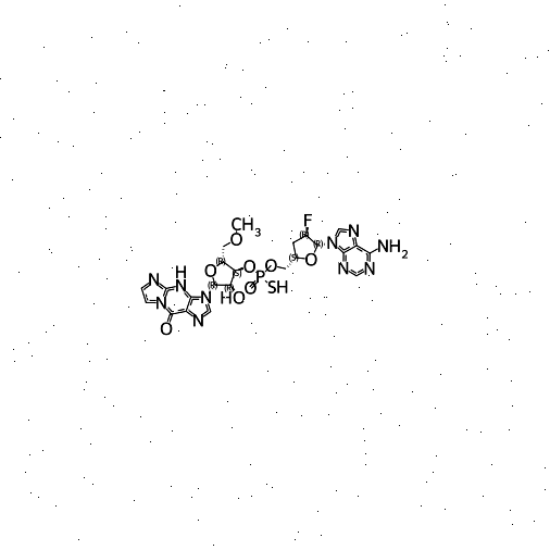 COC[C@H]1O[C@@H](n2cnc3c(=O)n4ccnc4[nH]c32)[C@H](O)[C@@H]1OP(=O)(S)OC[C@@H]1C[C@@H](F)[C@H](n2cnc3c(N)ncnc32)O1